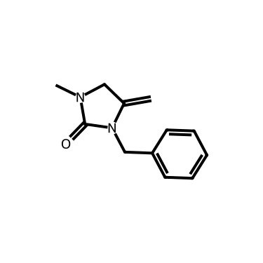 C=C1CN(C)C(=O)N1Cc1ccccc1